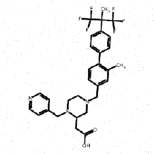 Cc1cc(CN2CCN(Cc3ccncc3)C(CC(=O)O)C2)ccc1-c1ccc(C(C)(C(F)(F)F)C(F)(F)F)cc1